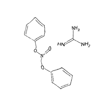 N=C(N)N.O=[N+](Oc1ccccc1)Oc1ccccc1